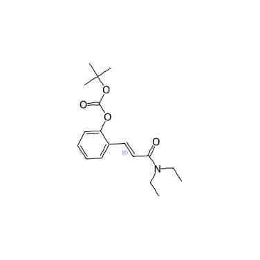 CCN(CC)C(=O)/C=C/c1ccccc1OC(=O)OC(C)(C)C